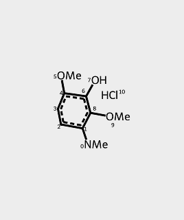 CNc1ccc(OC)c(O)c1OC.Cl